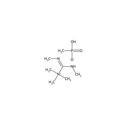 CN=C(NC)[N+](C)(C)C.CP(=O)([O-])O